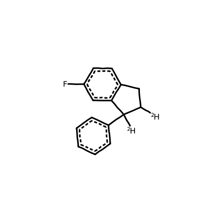 [2H]C1Cc2ccc(F)cc2C1([2H])c1ccccc1